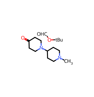 CC(C)(C)OC=O.CN1CCC(N2CCC(=O)CC2)CC1